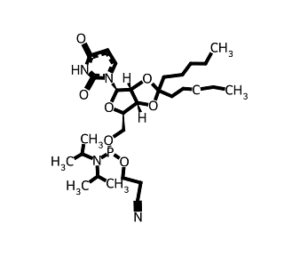 CCCCCC1(CCCCC)O[C@@H]2[C@H](O1)[C@@H](COP(OCCC#N)N(C(C)C)C(C)C)O[C@H]2n1ccc(=O)[nH]c1=O